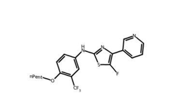 CCCCCOc1ccc(Nc2nc(-c3cccnc3)c(F)s2)cc1C(F)(F)F